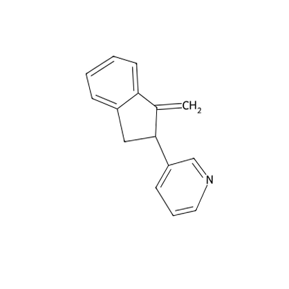 C=C1c2ccccc2CC1c1cccnc1